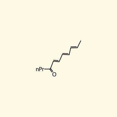 C/C=C/C=C/C=C/C(=O)CCC